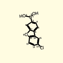 OB(O)c1ccc2c(c1)oc1ccc(Cl)cc12